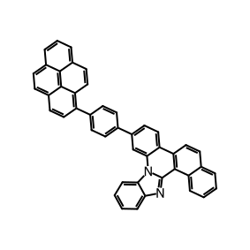 c1ccc2c(c1)ccc1c3ccc(-c4ccc(-c5ccc6ccc7cccc8ccc5c6c78)cc4)cc3n3c4ccccc4nc3c21